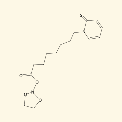 O=C(CCCCCCCn1ccccc1=S)ON1OCCO1